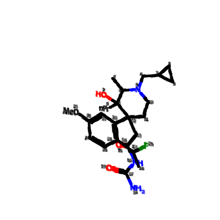 CCCC1(O)C(C)N(CC2CC2)CCC1(CC(=O)NC(N)=O)c1cc(OC)ccc1C(C)F